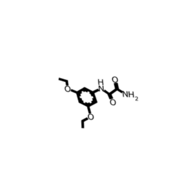 CCOc1cc(NC(=O)C(N)=O)cc(OCC)c1